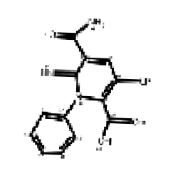 N=c1c(C(N)=O)cc(Cl)c(C(=O)O)n1-c1ccccc1